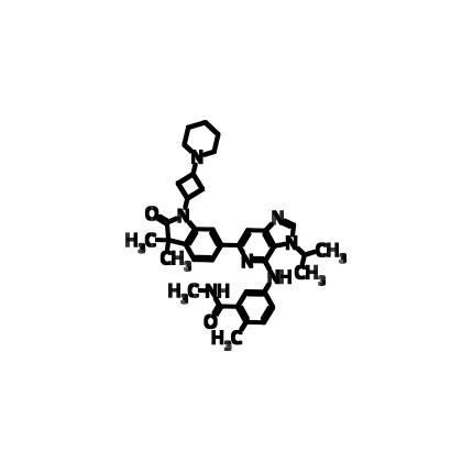 CNC(=O)c1cc(Nc2nc(-c3ccc4c(c3)N(C3CC(N5CCCCC5)C3)C(=O)C4(C)C)cc3ncn(C(C)C)c23)ccc1C